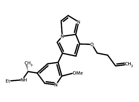 C=CCCOc1cc(-c2cc([C@@H](C)NCC)cnc2OC)cn2ccnc12